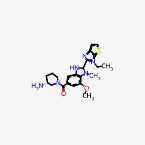 CCn1c(C2Nc3cc(C(=O)N4CCC[C@@H](N)C4)cc(OC)c3N2C)nc2ccsc21